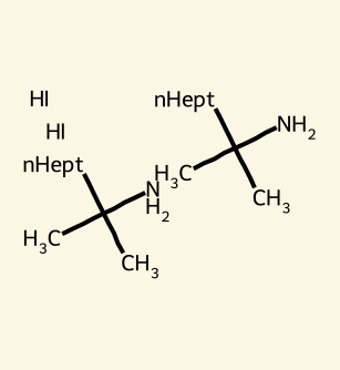 CCCCCCCC(C)(C)N.CCCCCCCC(C)(C)N.I.I